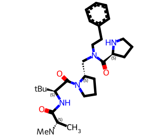 CN[C@@H](C)C(=O)N[C@H](C(=O)N1CCC[C@H]1CN(CCc1ccccc1)C(=O)[C@@H]1CCCN1)C(C)(C)C